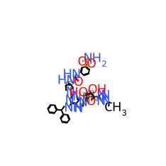 CCn1nnc([C@H]2O[C@@H](n3cnc4c(NCC(c5ccccc5)c5ccccc5)nc(N5CC[C@H](NC(=O)Nc6cccc(S(N)(=O)=O)c6)C5)nc43)[C@H](O)[C@@H]2O)n1